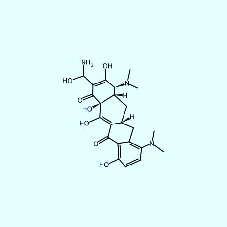 CN(C)c1ccc(O)c2c1C[C@H]1C[C@H]3[C@H](N(C)C)C(O)=C(C(N)O)C(=O)[C@@]3(O)C(O)=C1C2=O